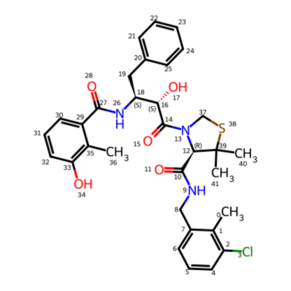 Cc1c(Cl)cccc1CNC(=O)[C@H]1N(C(=O)[C@@H](O)[C@H](Cc2ccccc2)NC(=O)c2cccc(O)c2C)CSC1(C)C